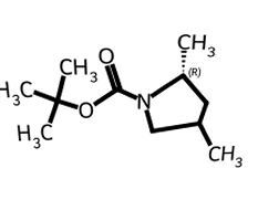 CC1C[C@@H](C)N(C(=O)OC(C)(C)C)C1